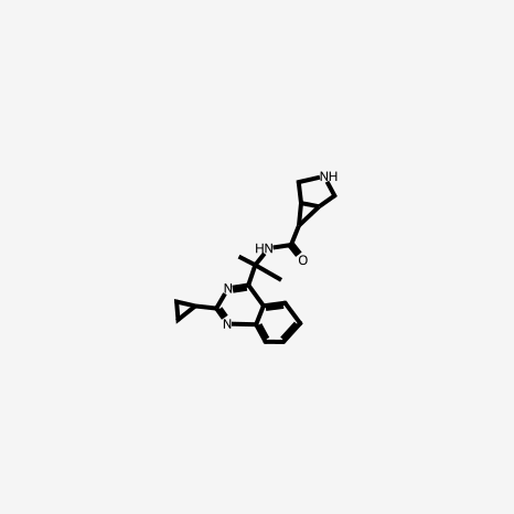 CC(C)(NC(=O)C1C2CNCC21)c1nc(C2CC2)nc2ccccc12